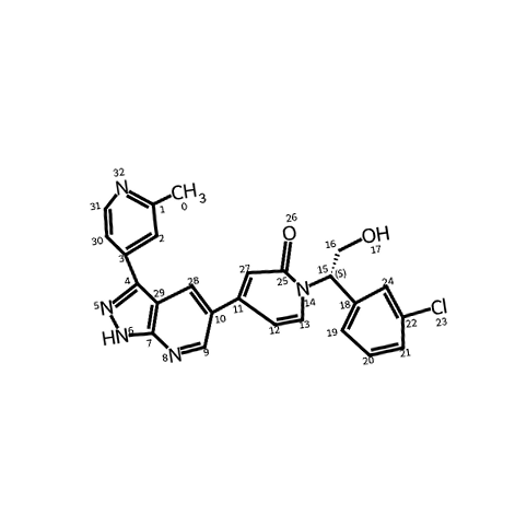 Cc1cc(-c2n[nH]c3ncc(-c4ccn([C@H](CO)c5cccc(Cl)c5)c(=O)c4)cc23)ccn1